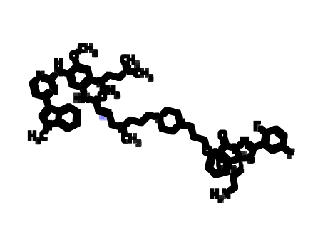 COc1cc(N(C)CCN(C)C)c(NC(=O)/C=C/CN(C)CCCN2CCN(CCCON(C)C(=O)N3N=C(c4cc(F)ccc4F)S[C@@]3(CCCN)c3ccccc3)CC2)cc1Nc1nccc(-c2cn(C)c3ccccc23)n1